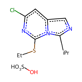 CCSc1nc(Cl)cc2cnc(C(C)C)n12.O=S(=O)(O)O